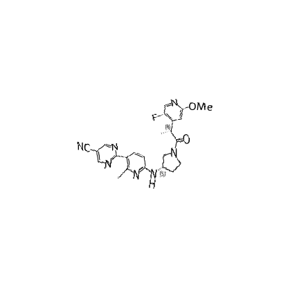 COc1cc([C@@H](C)C(=O)N2CC[C@H](Nc3ccc(-c4ncc(C#N)cn4)c(C)n3)C2)c(F)cn1